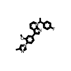 COc1cc(-c2cnc3n(C(C)c4ccc(F)cc4)cccc2-3)ccc1-n1cnc(C)c1